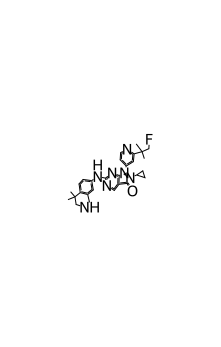 CC(C)(CF)c1cc(-n2c3nc(Nc4ccc5c(c4)CNCC5(C)C)ncc3c(=O)n2C2CC2)ccn1